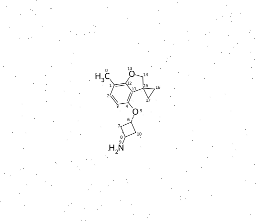 Cc1ccc(OC2CC(N)C2)c2c1OCC21CC1